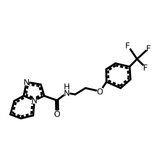 O=C(NCCOc1ccc(C(F)(F)F)cc1)c1cnc2ccccn12